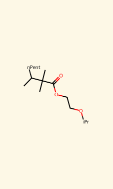 CCCCCC(C)C(C)(C)C(=O)OCCOC(C)C